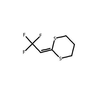 FC(F)(F)C=C1SCCCS1